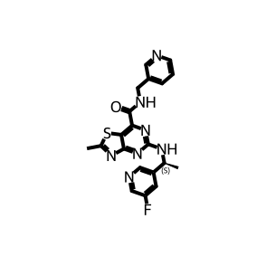 Cc1nc2nc(N[C@@H](C)c3cncc(F)c3)nc(C(=O)NCc3cccnc3)c2s1